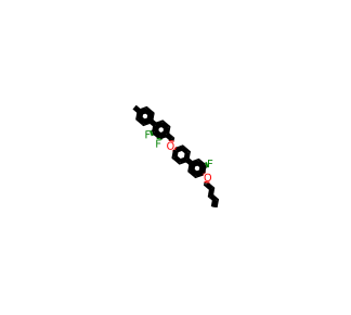 C=CCCCOc1ccc(C2CCC(OCc3ccc(-c4ccc(C)cc4)c(F)c3F)CC2)cc1F